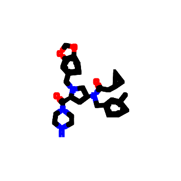 Cc1cccc(CN(C(=O)CC2CC2)[C@H]2C[C@@H](C(=O)N3CCNCC3)N(Cc3ccc4c(c3)OCO4)C2)c1